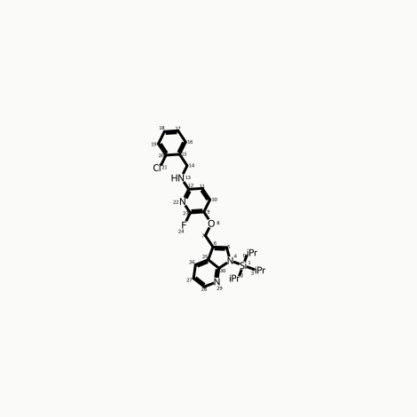 CC(C)[Si](C(C)C)(C(C)C)n1cc(COc2ccc(NCc3ccccc3Cl)nc2F)c2cccnc21